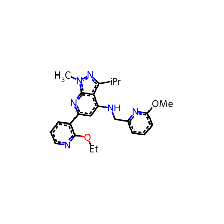 CCOc1ncccc1-c1cc(NCc2cccc(OC)n2)c2c(C(C)C)nn(C)c2n1